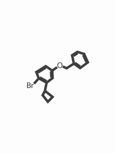 Brc1ccc(OCc2ccccc2)cc1C1CCC1